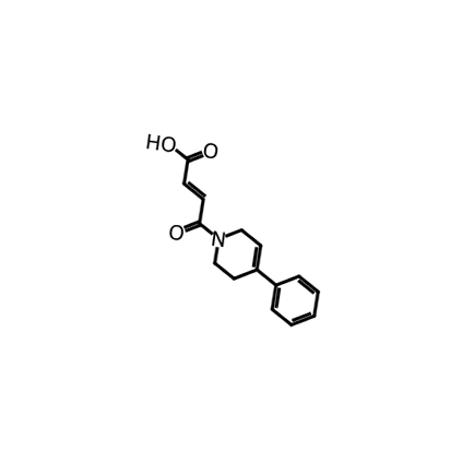 O=C(O)C=CC(=O)N1CC=C(c2ccccc2)CC1